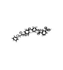 O=C(COc1ccccc1)Nc1ccc(Oc2ccc(NC(=O)c3cccc([N+](=O)[O-])c3)cc2)cc1